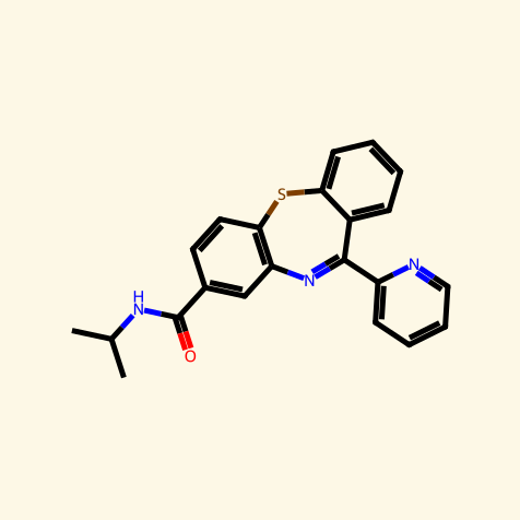 CC(C)NC(=O)c1ccc2c(c1)N=C(c1ccccn1)c1ccccc1S2